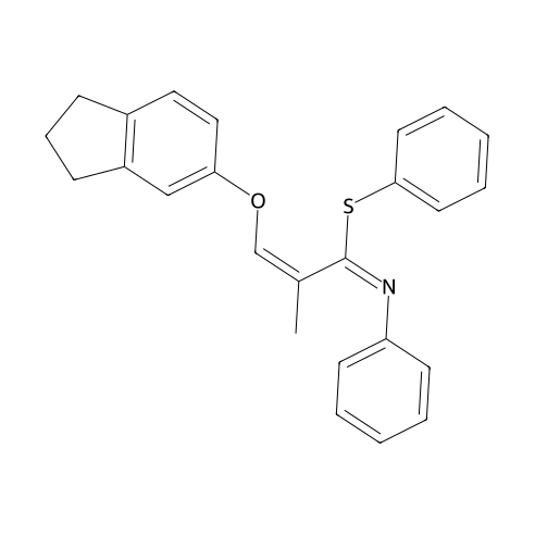 CC(=COc1ccc2c(c1)CCC2)/C(=N\c1ccccc1)Sc1ccccc1